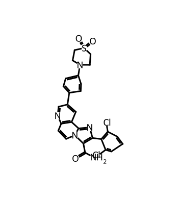 NC(=O)c1c(-c2c(Cl)cccc2Cl)nc2c3cc(-c4ccc(N5CCS(=O)(=O)CC5)cc4)cnc3ccn12